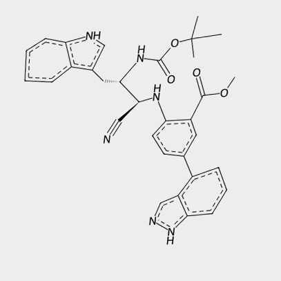 COC(=O)c1cc(-c2cccc3[nH]ncc23)ccc1N[C@@H](C#N)[C@H](Cc1c[nH]c2ccccc12)NC(=O)OC(C)(C)C